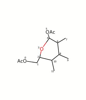 CC(=O)OCC1OC(OC(C)=O)C(C)C(C)C1C